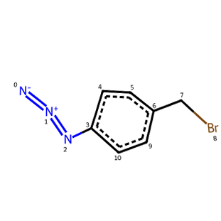 [N-]=[N+]=Nc1ccc(CBr)cc1